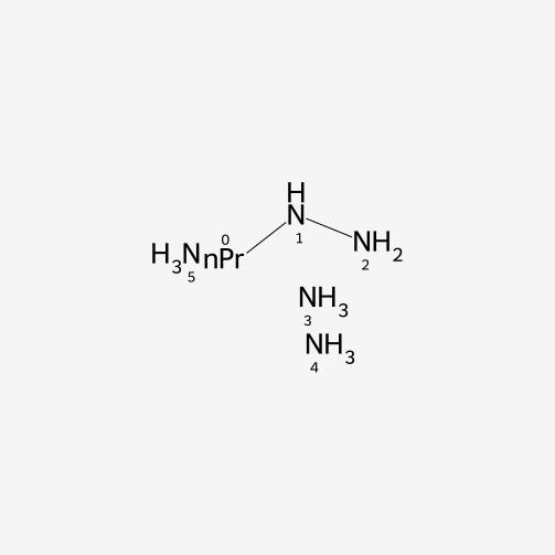 CCCNN.N.N.N